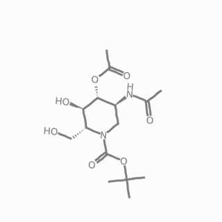 CC(=O)N[C@H]1CN(C(=O)OC(C)(C)C)[C@H](CO)[C@@H](O)[C@@H]1OC(C)=O